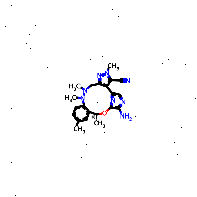 Cc1ccc2c(c1)[C@@H](C)Oc1nc(cnc1N)-c1c(nn(C)c1C#N)CN(C)N2C